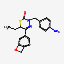 CCC1SC(=O)N(Cc2ccc(N)cc2)N=C1c1ccc2c(c1)OC2